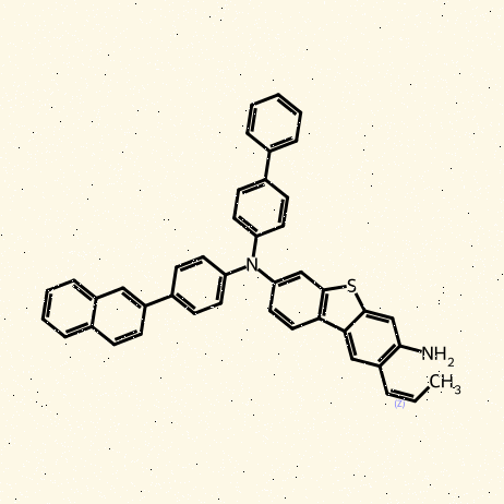 C/C=C\c1cc2c(cc1N)sc1cc(N(c3ccc(-c4ccccc4)cc3)c3ccc(-c4ccc5ccccc5c4)cc3)ccc12